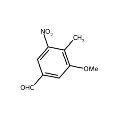 COc1cc(C=O)cc([N+](=O)[O-])c1C